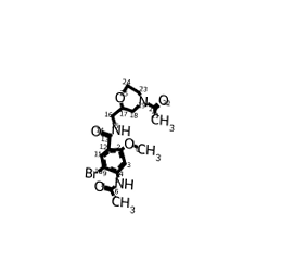 COc1cc(NC(C)=O)c(Br)cc1C(=O)NCC1CN(C(C)=O)CCO1